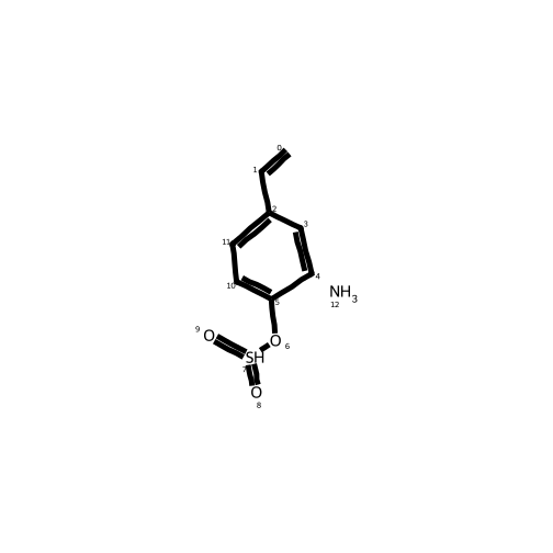 C=Cc1ccc(O[SH](=O)=O)cc1.N